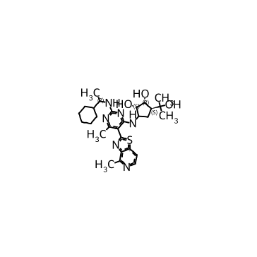 Cc1nc(N[C@H](C)C2CCCCC2)nc(NC2C[C@H](C(C)(C)O)[C@@H](O)[C@H]2O)c1-c1nc2c(C)nccc2s1